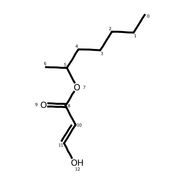 CCCCCC(C)OC(=O)C=CO